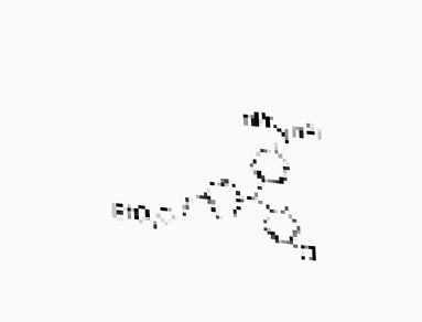 CCCN(CCC)c1ccc(C(c2ccc(Cl)cc2)c2ccc(/C=C/C(=O)OCC)cc2)cc1